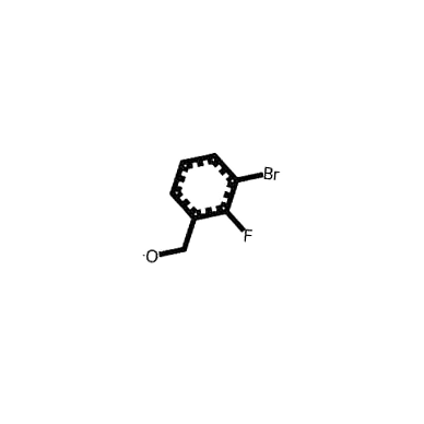 [O]Cc1cccc(Br)c1F